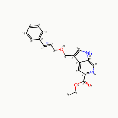 CCOC(=O)c1cc2c(COC/C=C/c3ccccc3)c[nH]c2cn1